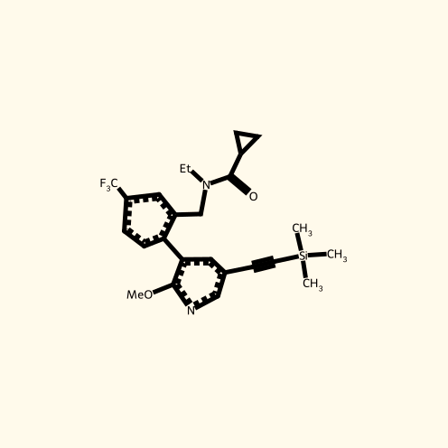 CCN(Cc1cc(C(F)(F)F)ccc1-c1cc(C#C[Si](C)(C)C)cnc1OC)C(=O)C1CC1